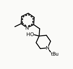 Cc1cccc(CC2(O)CCN(C(C)(C)C)CC2)n1